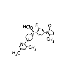 Cc1cnc(N2CCN(C(=O)c3ccc(N4C(=O)CCC4C)cc3F)CC2)c(C)c1.Cl